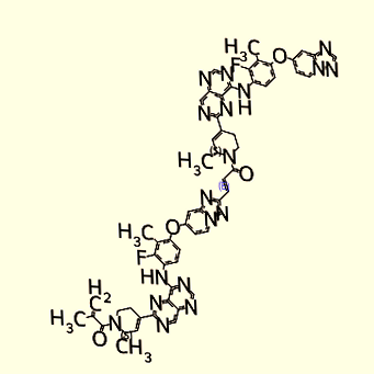 C=C(C)C(=O)N1CCC(c2ncc3ncnc(Nc4ccc(Oc5ccn6nc(/C=C/C(=O)N7CCC(c8ncc9ncnc(Nc%10ccc(Oc%11ccn%12ncnc%12c%11)c(C)c%10F)c9n8)=C[C@@H]7C)nc6c5)c(C)c4F)c3n2)=C[C@@H]1C